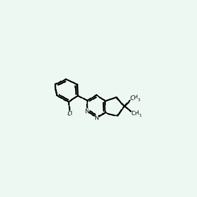 CC1(C)Cc2cc(-c3ccccc3Cl)nnc2C1